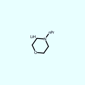 [CH2]CCN1CCOCC1.[LiH]